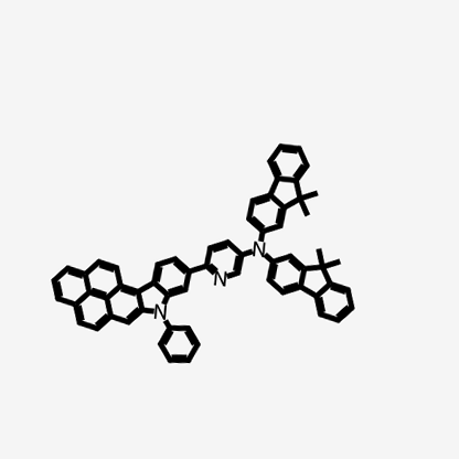 CC1(C)c2ccccc2-c2ccc(N(c3ccc(-c4ccc5c6c7ccc8cccc9ccc(cc6n(-c6ccccc6)c5c4)c7c98)nc3)c3ccc4c(c3)C(C)(C)c3ccccc3-4)cc21